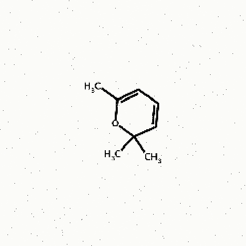 CC1=CC=CC(C)(C)O1